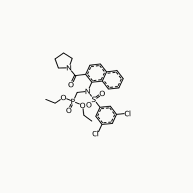 CCOP(=O)(CN(c1c(C(=O)N2CCCC2)ccc2ccccc12)S(=O)(=O)c1cc(Cl)cc(Cl)c1)OCC